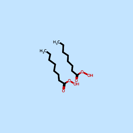 CCCCCCCC(=O)OO.CCCCCCCC(=O)OO